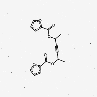 CC(C#CC(C)OC(=O)c1ccco1)OC(=O)c1ccco1